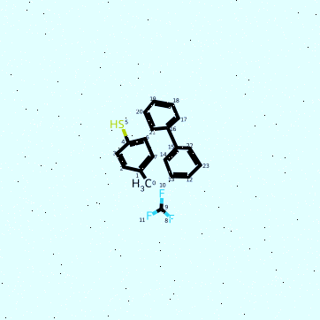 Cc1ccc(S)cc1.FC(F)F.c1ccc(-c2ccccc2)cc1